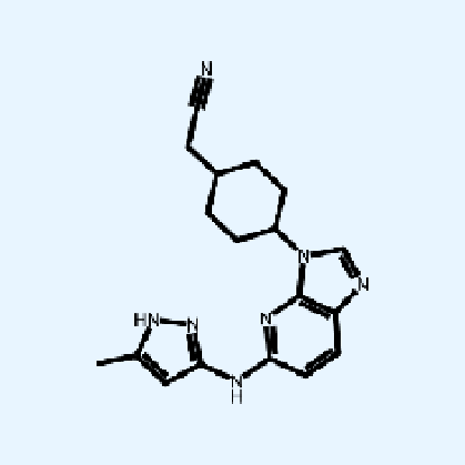 Cc1cc(Nc2ccc3ncn(C4CCC(CC#N)CC4)c3n2)n[nH]1